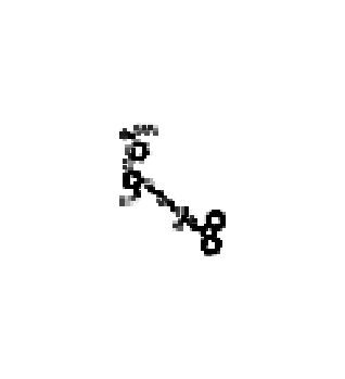 COC(=O)[C@@H]1[CH][CH][CH][C@H](Oc2ccc(CO)c(OCCOCCNC(=O)OCC3c4ccccc4-c4ccccc43)c2)O1